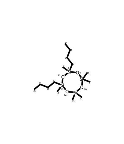 CCCC[Si]1(C)O[Si](C)(C)O[Si](C)(C)O[Si](C)(CCCC)O1